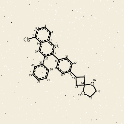 Clc1nccc2nc(-c3ccc([C]4CC5(C4)OCCO5)cc3)c(-c3ccccc3)cc12